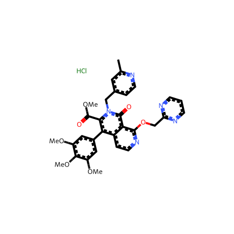 COC(=O)c1c(-c2cc(OC)c(OC)c(OC)c2)c2ccnc(OCc3ncccn3)c2c(=O)n1Cc1ccnc(C)c1.Cl